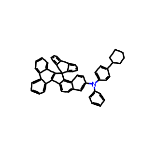 c1ccc(N(c2ccc(C3CCCCC3)cc2)c2ccc3c4c(ccc3c2)-c2c(c3ccccc3c3ccccc23)C42c3ccccc3-c3ccccc32)cc1